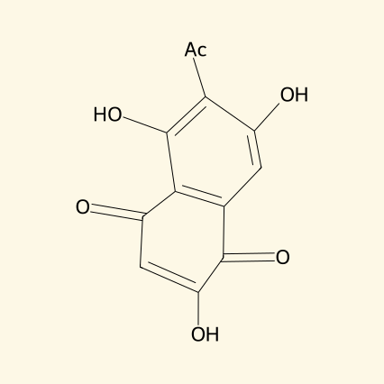 CC(=O)c1c(O)cc2c(c1O)C(=O)C=C(O)C2=O